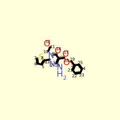 Nc1nc(-c2cccs2)n(CC=O)c(=O)c1C(=O)OCc1ccccc1